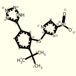 CC(C)(C)c1ccc(-c2nnn[nH]2)cc1Sc1ncc([N+](=O)[O-])s1